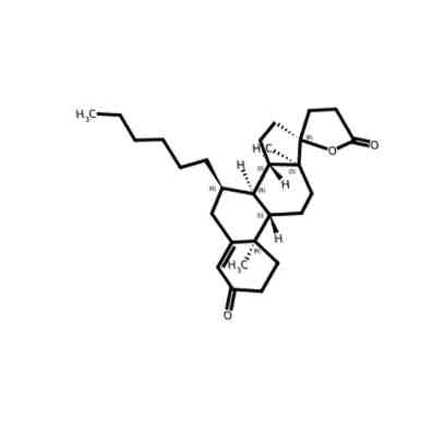 CCCCCC[C@@H]1CC2=CC(=O)CC[C@]2(C)[C@H]2CC[C@@]3(C)[C@@H](CC[C@@]34CCC(=O)O4)[C@H]12